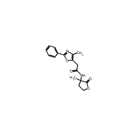 Cc1nc(-c2ccccc2)oc1CC(=O)NC1(C)CCOC1=O